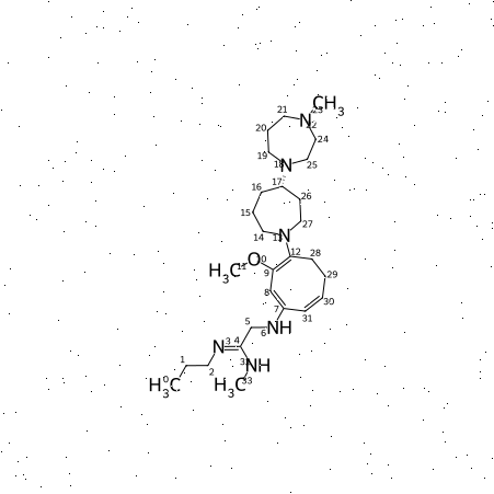 CCC/N=C(/CNC1=C/C(OC)=C(/N2CCC[C@H](N3CCCN(C)CC3)CC2)CC/C=C\1)NC